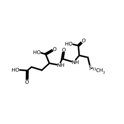 [11CH3]SCC(NC(=O)NC(CCC(=O)O)C(=O)O)C(=O)O